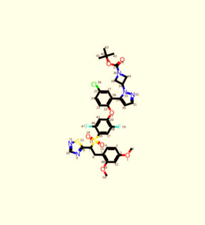 COc1ccc(CC(c2ncns2)S(=O)(=O)c2cc(F)c(Oc3ccc(Cl)cc3-c3ccnn3C3CN(C(=O)OC(C)(C)C)C3)cc2F)c(OC)c1